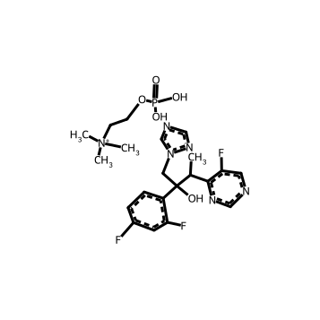 CC(c1ncncc1F)C(O)(Cn1cncn1)c1ccc(F)cc1F.C[N+](C)(C)CCOP(=O)(O)O